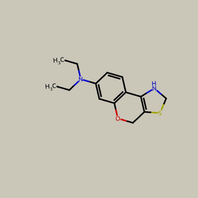 CCN(CC)c1ccc2c(c1)OCC1=C2NCS1